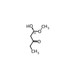 CCC(=O)C[C@@H](O)OC